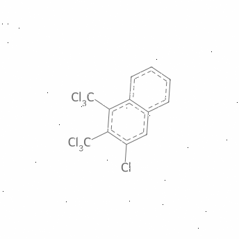 Clc1cc2ccccc2c(C(Cl)(Cl)Cl)c1C(Cl)(Cl)Cl